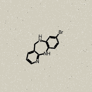 Brc1ccc2c(c1)NCc1cccnc1N2